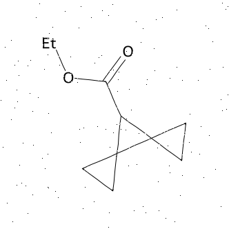 CCOC(=O)C1C2(CC2)C12CC2